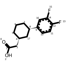 O=C(O)C[C@@H]1CCC[C@H](c2ccc(F)c(F)c2)C1